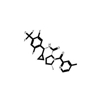 Cc1ccnc(C(=O)N2[C@H](C)CC[C@@H]2C(=O)N[C@@H](c2cc(F)c(C(F)(F)F)cc2F)C2CC2)c1